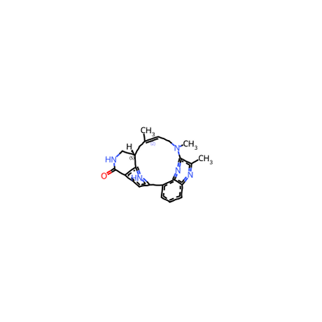 C/C1=C/CN(C)c2nc3c(cccc3nc2C)-c2cc3c([nH]2)[C@H](CNC3=O)C1